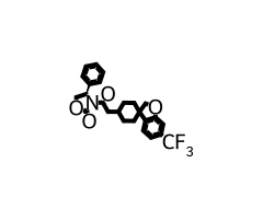 O=C(CC1CCC2(CC1)COc1cc(C(F)(F)F)ccc12)N1C(=O)OC[C@H]1c1ccccc1